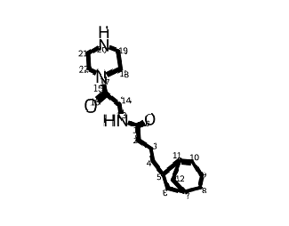 O=C(CCCC1CC2CCC=C1C2)NCC(=O)N1CCNCC1